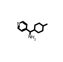 CC1CCC(C(N)c2ccncc2)CC1